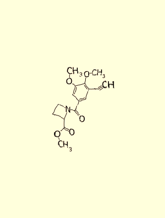 C#Cc1cc(C(=O)N2CCC2C(=O)OC)cc(OC)c1OC